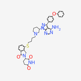 Nc1ncnc2c1c(-c1ccc(Oc3ccccc3)cc1)nn2C1CCCN(CCCCSc2cccc3c2CN(C2CCC(=O)NC2=O)C3=O)C1